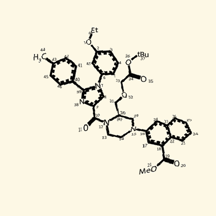 CCOc1cccc(-n2cc(C(=O)N3CCN(c4cc(C(=O)OC)c5ccccc5c4)C[C@@H]3COCC(=O)OC(C)(C)C)nc2-c2ccc(C)cc2)c1